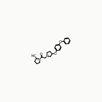 N#CC1CCCN1C(=O)CN1CCC(Oc2ccc(Oc3ccccc3)cc2)C1